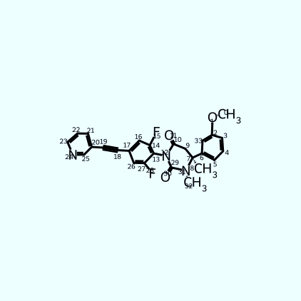 COc1cccc([C@]2(C)CC(=O)N(c3c(F)cc(C#Cc4cccnc4)cc3F)C(=O)N2C)c1